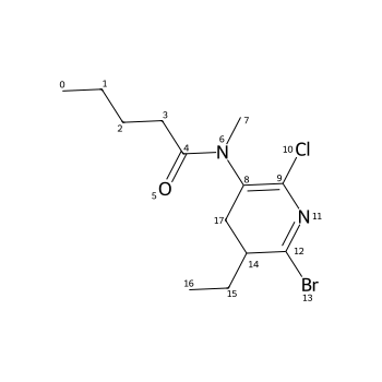 CCCCC(=O)N(C)C1=C(Cl)N=C(Br)C(CC)C1